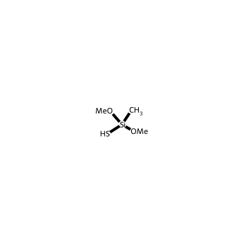 CO[Si](C)(S)OC